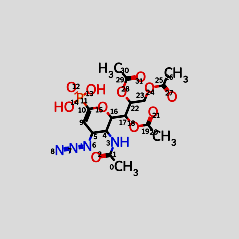 CC(=O)NC1C(N=[N+]=[N-])C=C(P(=O)(O)O)OC1C(OC(C)=O)C(COC(C)=O)OC(C)=O